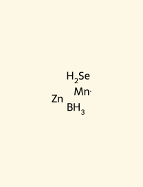 B.[Mn].[SeH2].[Zn]